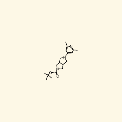 Cc1cc(N2CC3CN(C(=O)OC(C)(C)C)CC3C2)cc(C)n1